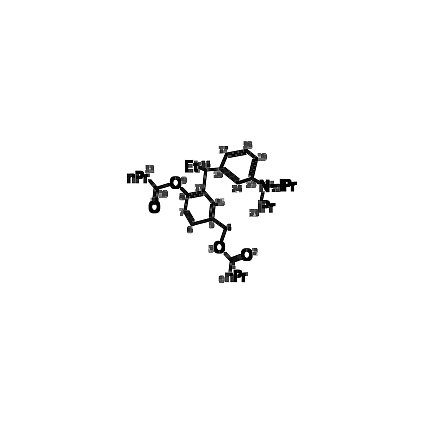 CCCC(=O)OCc1ccc(OC(=O)CCC)c(C(CC)c2cccc(N(C(C)C)C(C)C)c2)c1